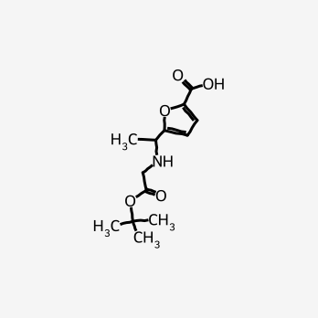 CC(NCC(=O)OC(C)(C)C)c1ccc(C(=O)O)o1